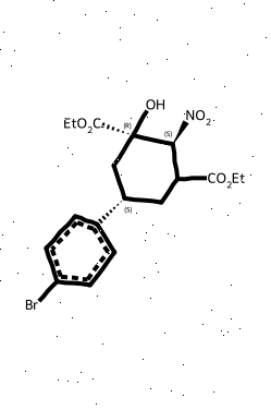 CCOC(=O)C1C[C@H](c2ccc(Br)cc2)C[C@](O)(C(=O)OCC)[C@H]1[N+](=O)[O-]